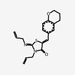 C=CC/N=C1\S/C(=C\c2ccc3c(c2)CCCO3)C(=O)N1CC=C